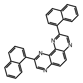 c1ccc2c(-c3cnc4ccc5ncc(-c6cccc7ccccc67)nc5c4n3)cccc2c1